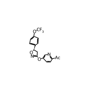 CC(=O)c1ccc(OC2=NO[C@@H](c3ccc(OC(F)(F)F)cc3)C2)cn1